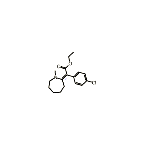 CCOC(=O)/C(=C1/CCCCCN1C)c1ccc(Cl)cc1